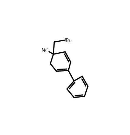 CCC(C)CC1(C#N)C=CC(c2ccccc2)=CC1